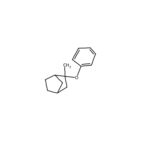 CC1(Oc2ccccc2)CC2CCC1C2